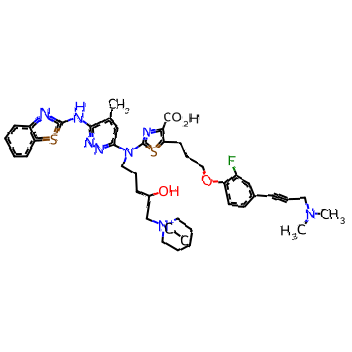 Cc1cc(N(CCCC(O)C[N+]23CCC(CC2)CC3)c2nc(C(=O)O)c(CCCOc3ccc(C#CCN(C)C)cc3F)s2)nnc1Nc1nc2ccccc2s1